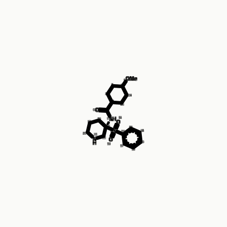 COC1CCC(C(=O)N[C@@]2(S(=O)(=O)c3ccccc3)CCCNC2)CC1